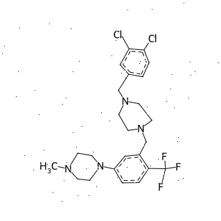 CN1CCN(c2ccc(C(F)(F)F)c(CN3CCN(Cc4ccc(Cl)c(Cl)c4)CC3)c2)CC1